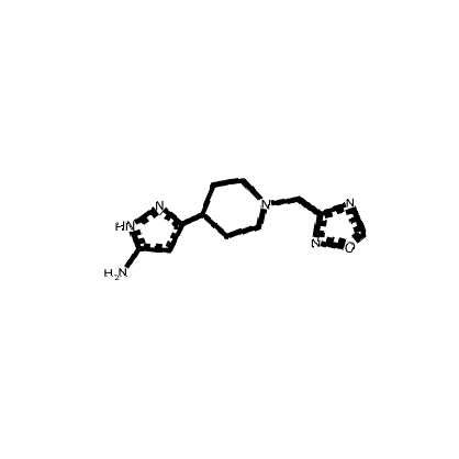 Nc1cc(C2CCN(Cc3ncon3)CC2)n[nH]1